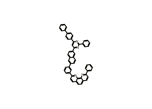 c1ccc(-c2ccc(-c3cc(-c4ccc5cc(-c6cccc(-c7ccc8ccc9ccc(-c%10ccccc%10)nc9c8n7)c6)ccc5c4)nc(-c4ccccc4)n3)cc2)cc1